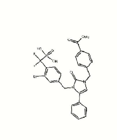 COC(=O)c1ccc(Cn2cc(-c3ccccc3)n(Cc3ccc(C(F)(F)P(=O)(O)O)c(Br)c3)c2=O)cc1